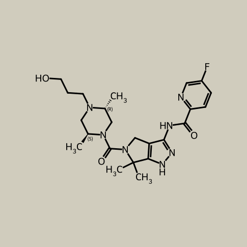 C[C@@H]1CN(C(=O)N2Cc3c(NC(=O)c4ccc(F)cn4)n[nH]c3C2(C)C)[C@@H](C)CN1CCCO